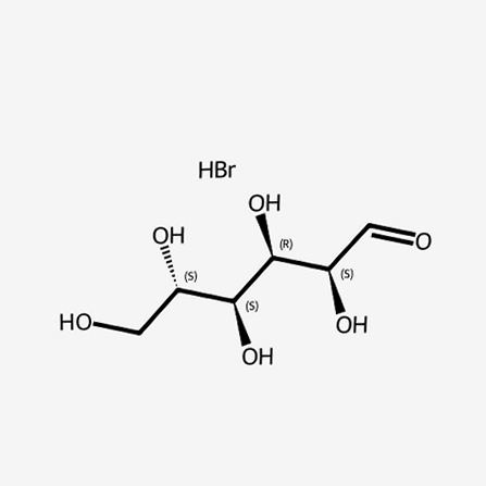 Br.O=C[C@@H](O)[C@H](O)[C@@H](O)[C@@H](O)CO